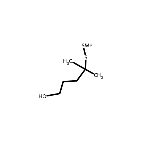 CSSC(C)(C)CCCO